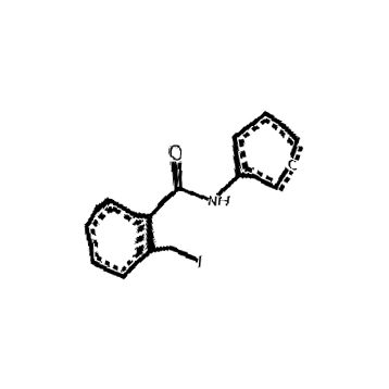 O=C(Nc1ccccc1)c1ccccc1I